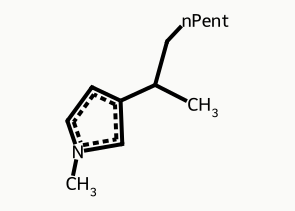 CCCCCCC(C)c1ccn(C)c1